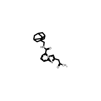 CC(=O)Cc1cn2c(C(=O)NCC34CC5CC(CC(C5)C3)C4)cccc2n1